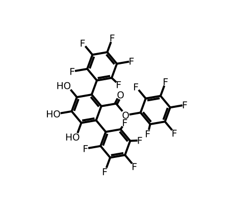 O=C(Oc1c(F)c(F)c(F)c(F)c1F)c1c(-c2c(F)c(F)c(F)c(F)c2F)c(O)c(O)c(O)c1-c1c(F)c(F)c(F)c(F)c1F